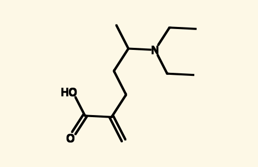 C=C(CCC(C)N(CC)CC)C(=O)O